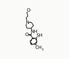 Cc1ccc(C(=O)NC2CCN(CCC[O])CC2)c(S)c1